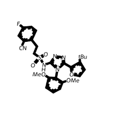 COc1cccc(OC)c1-n1c(NS(=O)(=O)CCc2ccc(F)cc2C#N)nnc1-c1occc1C(C)(C)C